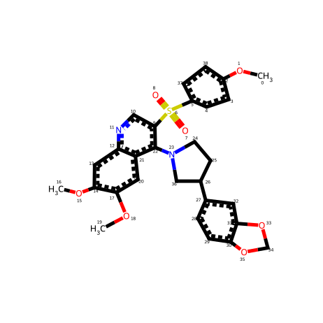 COc1ccc(S(=O)(=O)c2cnc3cc(OC)c(OC)cc3c2N2CCC(c3ccc4c(c3)OCO4)C2)cc1